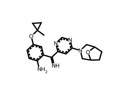 CC1(Oc2ccc(N)c(C(=N)c3cc(N4CC5CCC(C4)O5)ncn3)c2)CC1